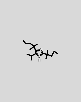 CCCC(C)(C)c1nc(C(C)(C)CCC)c(C(C)C)[nH]1